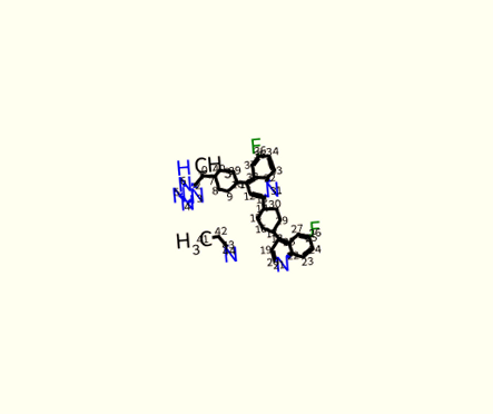 CC(c1nnn[nH]1)C1CCC(c2cc(C3CCC(c4ccnc5ccc(F)cc45)CC3)nc3ccc(F)cc23)CC1.CCC#N